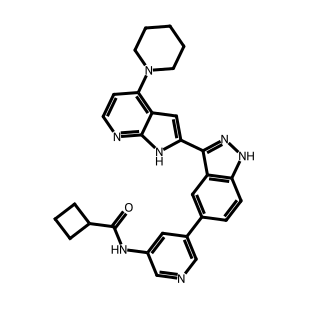 O=C(Nc1cncc(-c2ccc3[nH]nc(-c4cc5c(N6CCCCC6)ccnc5[nH]4)c3c2)c1)C1CCC1